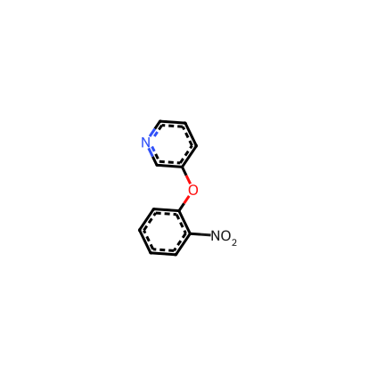 O=[N+]([O-])c1ccccc1Oc1cccnc1